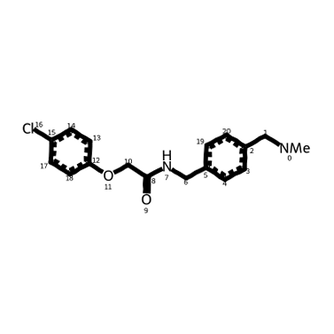 CNCc1ccc(CNC(=O)COc2ccc(Cl)cc2)cc1